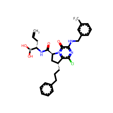 C=CC[C@H](NC(=O)[C@@H]1C[C@@H](CCCc2ccccc2)c2c(Cl)nc(NCc3cccc(C(F)(F)F)c3)c(=O)n21)B(O)O